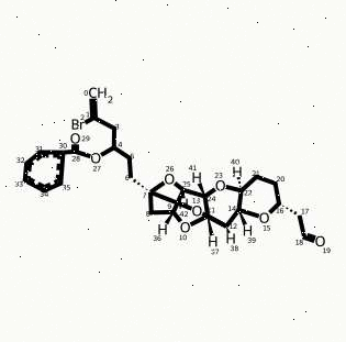 C=C(Br)CC(CC[C@@]12C[C@H]3O[C@H]4[C@@H](O1)[C@H]1O[C@@H](CC=O)CC[C@@H]1O[C@H]4[C@@H]3O2)OC(=O)c1ccccc1